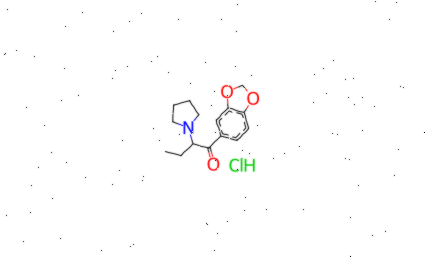 CCC(C(=O)c1ccc2c(c1)OCO2)N1CCCC1.Cl